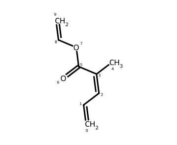 C=CC=C(C)C(=O)OC=C